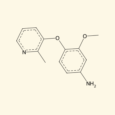 COc1cc(N)ccc1Oc1cccnc1C